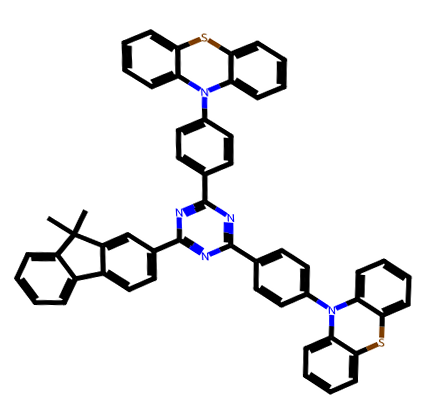 CC1(C)c2ccccc2-c2ccc(-c3nc(-c4ccc(N5c6ccccc6Sc6ccccc65)cc4)nc(-c4ccc(N5c6ccccc6Sc6ccccc65)cc4)n3)cc21